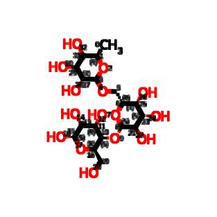 C[C@H]1OC(OC[C@H]2O[C@@H](O[C@H]3[C@H](O)[C@@H](O)[C@@H](O)O[C@@H]3CO)[C@H](O)[C@@H](O)[C@H]2O)[C@H](O)[C@@H](O)[C@H]1O